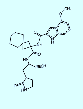 C#CC(CC1CCNC1=O)NC(=O)C1(NC(=O)c2cc3c(OC)cccc3[nH]2)CC2(CCCCC2)C1